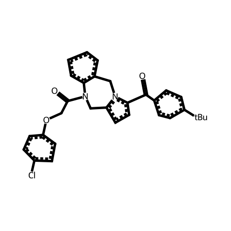 CC(C)(C)c1ccc(C(=O)c2ccc3n2Cc2ccccc2N(C(=O)COc2ccc(Cl)cc2)C3)cc1